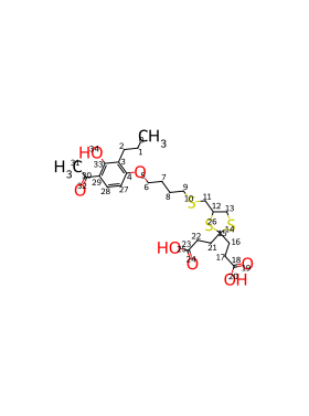 CCCc1c(OCCCCSCC2CSC(CCC(=O)O)(CCC(=O)O)S2)ccc(C(C)=O)c1O